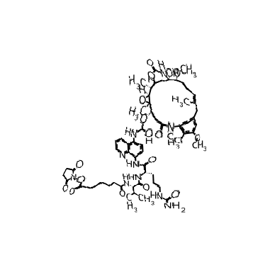 COc1cc2cc(c1Cl)N(C)C(=O)C[C@H](OC(O)Nc1ccc(NC(=O)[C@H](CCCNC(N)=O)NC(=O)[C@@H](NC(=O)CCCCC(=O)ON3C(=O)CCC3=O)C(C)C)c3ncccc13)[C@]1(C)O[C@H]1[C@H](C)[C@@H]1C[C@@](O)(NC(=O)O1)[C@H](OC)/C=C/C=C(\C)C2